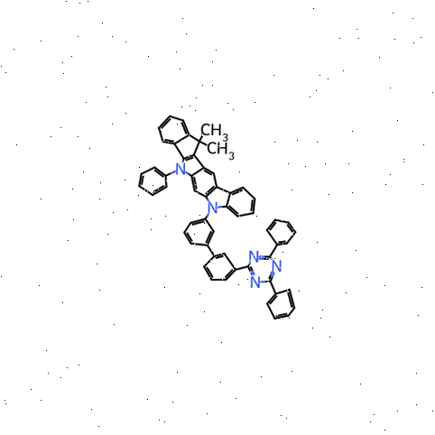 CC1(C)c2ccccc2-c2c1c1cc3c4ccccc4n(-c4cccc(-c5cccc(-c6nc(-c7ccccc7)nc(-c7ccccc7)n6)c5)c4)c3cc1n2-c1ccccc1